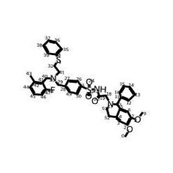 COc1cc2c(cc1OC)C(c1ccccc1)N(CC(=O)NS(=O)(=O)c1ccc(CN(CCSc3ccccc3)Cc3c(C)cccc3F)cc1)CC2